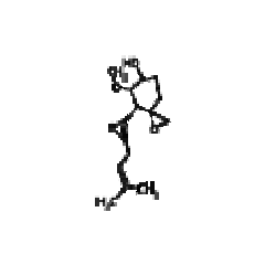 COC1C(O)CCC2(CO2)C1C1=C(CC=C(C)C)O1